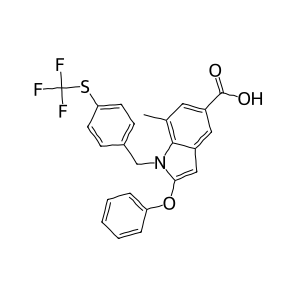 Cc1cc(C(=O)O)cc2cc(Oc3ccccc3)n(Cc3ccc(SC(F)(F)F)cc3)c12